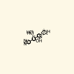 CC1CN(c2ccc(-c3ncc(-c4ccc5ncnn5c4)cc3O)nn2)C[C@H](C)N1.Cl.Cl